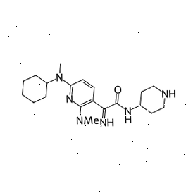 CNc1nc(N(C)C2CCCCC2)ccc1C(=N)C(=O)NC1CCNCC1